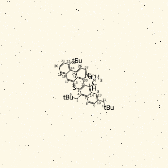 Cc1c2c(c(CC(C)(C)C)c3ccc(CC(C)(C)C)cc13)Sc1cc3cccc(C(C)(C)C)c3c3cc[n+](C)c-2c13